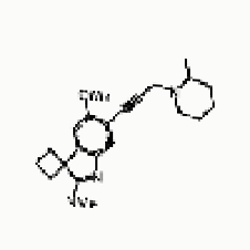 CNC1=Nc2cc(C#CCN3CCCCC3C)c(OC)cc2C12CCC2